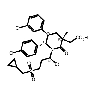 CC[C@@H](CCS(=O)(=O)CC1CC1)N1C(=O)[C@@](C)(CC(=O)O)C[C@H](c2cccc(Cl)c2)[C@H]1c1ccc(Cl)cc1